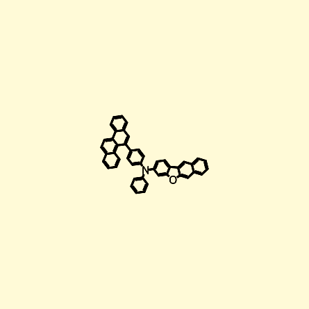 c1ccc(N(c2ccc(-c3cc4ccccc4c4ccc5ccccc5c34)cc2)c2ccc3c(c2)oc2cc4ccccc4cc23)cc1